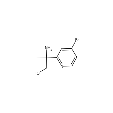 CC(N)(CO)c1cc(Br)ccn1